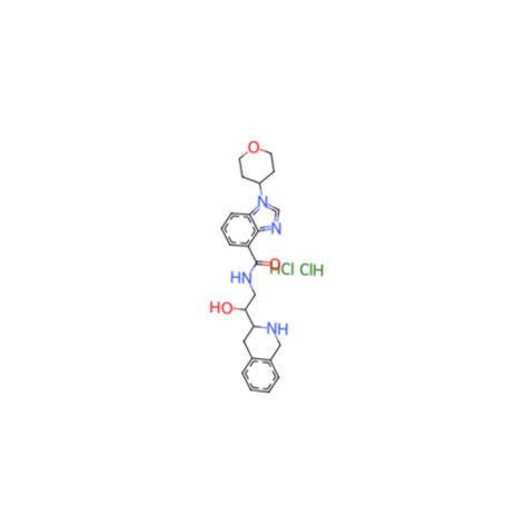 Cl.Cl.O=C(NCC(O)C1Cc2ccccc2CN1)c1cccc2c1ncn2C1CCOCC1